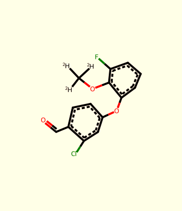 [2H]C([2H])([2H])Oc1c(F)cccc1Oc1ccc(C=O)c(Cl)c1